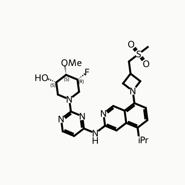 CO[C@@H]1[C@H](F)CN(c2nccc(Nc3cc4c(C(C)C)ccc(N5CC(CS(C)(=O)=O)C5)c4cn3)n2)C[C@@H]1O